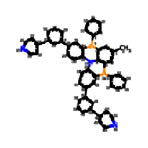 Cc1cc2c3c(c1)P(c1ccccc1)c1cc(-c4cccc(-c5ccncc5)c4)ccc1N3c1ccc(-c3cccc(-c4ccncc4)c3)cc1P2c1ccccc1